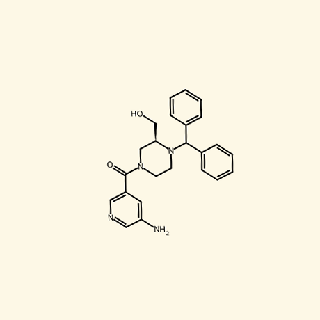 Nc1cncc(C(=O)N2CCN(C(c3ccccc3)c3ccccc3)[C@H](CO)C2)c1